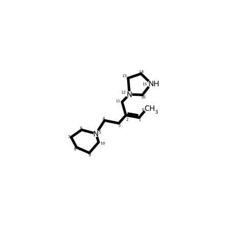 C/C=C(/CCN1CCCCC1)CN1CCNC1